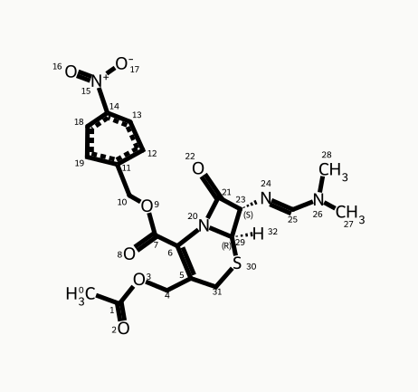 CC(=O)OCC1=C(C(=O)OCc2ccc([N+](=O)[O-])cc2)N2C(=O)[C@H](N=CN(C)C)[C@H]2SC1